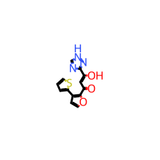 O=C(C=C(O)c1nc[nH]n1)c1occc1-c1cccs1